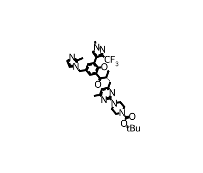 Cc1cc(C[C@H]2COc3c(cc(Cn4ccnc4C)cc3-c3cn(C)nc3C(F)(F)F)C2=O)nc(N2CCN(C(=O)OC(C)(C)C)CC2)n1